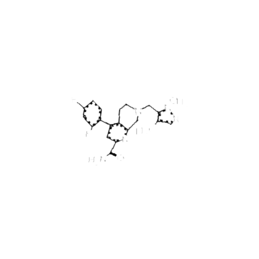 Cc1cnn(C)c1CN1CCc2c(-c3ccc(F)cc3F)cc(C(N)=O)nc2C1